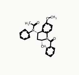 COc1ccc2c(c1)[C@@H](N(C(C)=O)c1ccccc1)C[C@@H](C)N2C(=O)c1ccccc1